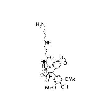 COc1cc(C2c3cc4c(cc3[C@@H](NC(=O)CCCNCCCCN)[C@H]3COC(=O)[C@H]23)OCO4)cc(OC)c1O